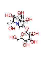 OCC1O[C@H](O[C@@H]2CN3[C@H]([C@H]2O)[C@@H](O)[C@H](O)[C@H]3CO)[C@@H](O)C(O)[C@@H]1O